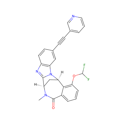 CN1C(=O)c2cccc(OC(F)F)c2[C@H]2C[C@@H]1c1nc3ccc(C#Cc4cccnc4)cc3n12